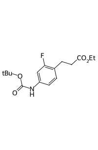 CCOC(=O)CCc1ccc(NC(=O)OC(C)(C)C)cc1F